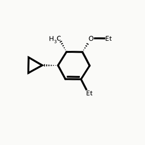 CCO[C@@H]1CC(CC)=C[C@H](C2CC2)[C@@H]1C